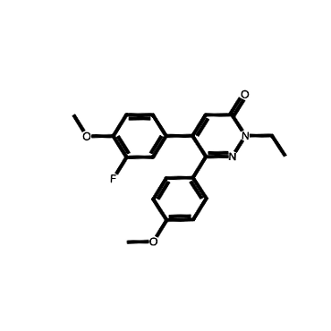 CCn1nc(-c2ccc(OC)cc2)c(-c2ccc(OC)c(F)c2)cc1=O